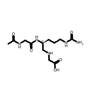 CC(=O)NCC(=O)N[C@@H](CCCNC(N)=O)CNCC(=O)O